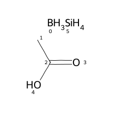 B.CC(=O)O.[SiH4]